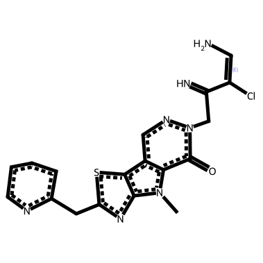 Cn1c2nc(Cc3ccccn3)sc2c2cnn(CC(=N)/C(Cl)=C\N)c(=O)c21